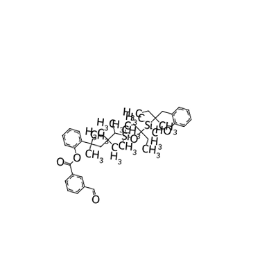 CCC(C)(Cc1ccccc1O)[Si](C)(C)C(CC)(CC)O[Si](C)(C)C(C)C(C)(C)CC(C)(C)c1ccccc1OC(=O)c1cccc(C=O)c1